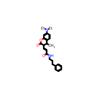 CCN(CC)c1ccc2c(c1)OC(=O)C(C=CC(=O)NCCCc1ccccc1)C2C